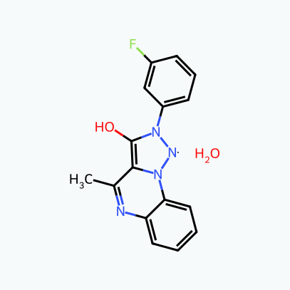 CC1=Nc2ccccc2N2[N]N(c3cccc(F)c3)C(O)=C12.O